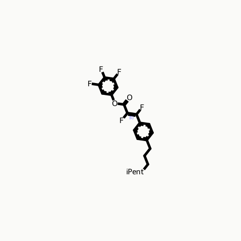 CCCC(C)CCCc1ccc(/C(F)=C(\F)C(=O)Oc2cc(F)c(F)c(F)c2)cc1